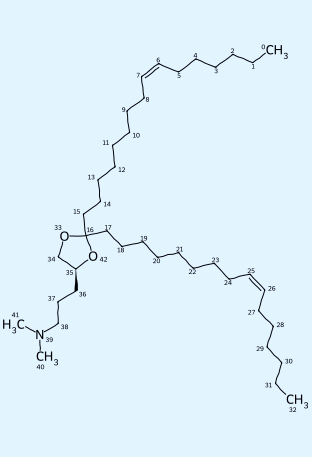 CCCCCC/C=C\CCCCCCCCC1(CCCCCCCC/C=C\CCCCCC)OC[C@H](CCCN(C)C)O1